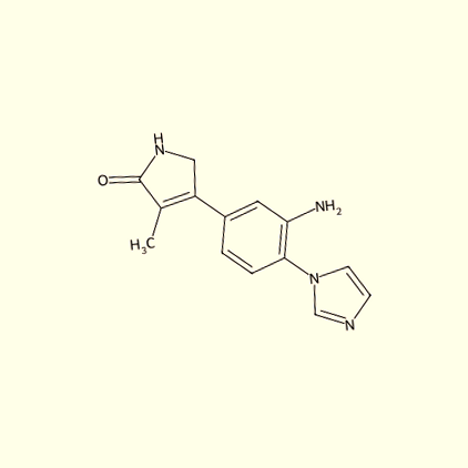 CC1=C(c2ccc(-n3ccnc3)c(N)c2)CNC1=O